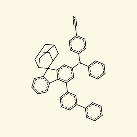 N#Cc1ccc(N(c2ccccc2)c2cc(-c3cccc(-c4ccccc4)c3)c3c(c2)C2(c4ccccc4-3)C3CC4CC(C3)CC2C4)cc1